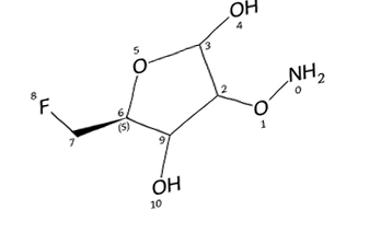 NOC1C(O)O[C@H](CF)C1O